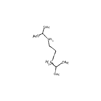 CC(=O)OC(OC(C)=O)[SiH2]CC[SiH2]C(OC(C)=O)OC(C)=O